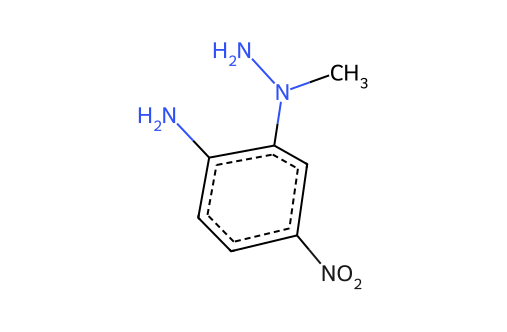 CN(N)c1cc([N+](=O)[O-])ccc1N